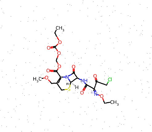 CCO/N=C(\C(=O)CCl)C(=O)NC1C(=O)N2C(C(=O)OCOC(=O)OCC)=C(COC)CS[C@H]12